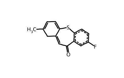 CC1=CC=C2Sc3ccc(F)cc3C(=O)C=C2C1